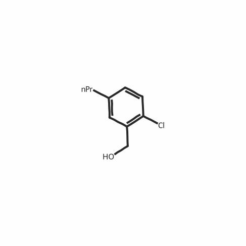 CCCc1ccc(Cl)c(CO)c1